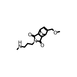 CNCCCN1C(=O)C2C3C=C(COC)C(O3)C2C1=O